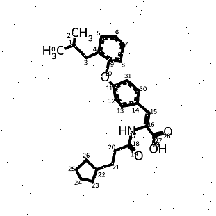 CC(C)Cc1ccccc1Oc1ccc(C=C(NC(=O)CCC2CCCC2)C(=O)O)cc1